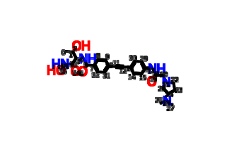 C[C@@H](O)[C@H](NC(=O)c1ccc(C#Cc2ccc(NC(=O)CN3CCC(N(C)C)C3)cc2)cc1)C(=O)NO